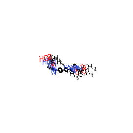 COC(=O)N[C@H](C(=O)N1CCC[C@H]1c1ncc(-c2ccc(-c3ccc(-c4cnc([C@@H]5CCCN5C(=O)[C@@H](NC(=O)O)C(C)C)[nH]4)cc3)cc2)[nH]1)C(C)C